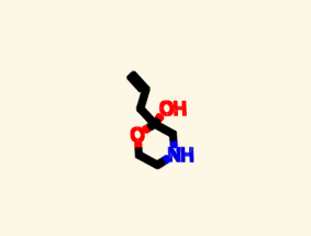 C=CCC1(O)CNCCO1